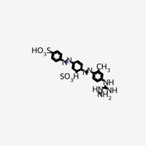 Cc1cc(NC(=N)NN)ccc1N=NC1C=CC(/N=N/c2ccc(S(=O)(=O)O)cc2)=CC1S(=O)(=O)O